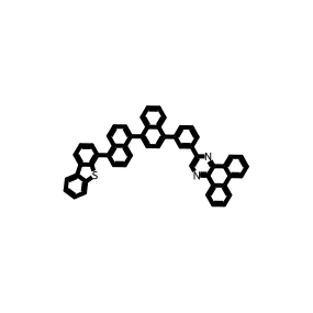 c1cc(-c2cnc3c4ccccc4c4ccccc4c3n2)cc(-c2ccc(-c3cccc4c(-c5cccc6c5sc5ccccc56)cccc34)c3ccccc23)c1